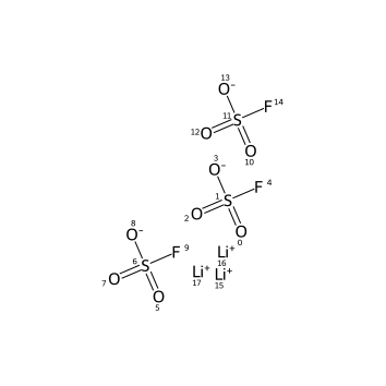 O=S(=O)([O-])F.O=S(=O)([O-])F.O=S(=O)([O-])F.[Li+].[Li+].[Li+]